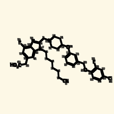 N#CCCCCCCn1c(CN2CCC(Oc3cccc(COc4ccc(Cl)cc4F)c3)CC2)nc2c(F)cc(CC(=O)O)cc21